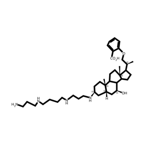 C[C@H](COc1ccccc1C(=O)O)C1CCC2C3C(CC[C@@]21C)[C@@]1(C)CC[C@H](NCCCNCCCCNCCCN)C[C@H]1C[C@@H]3O